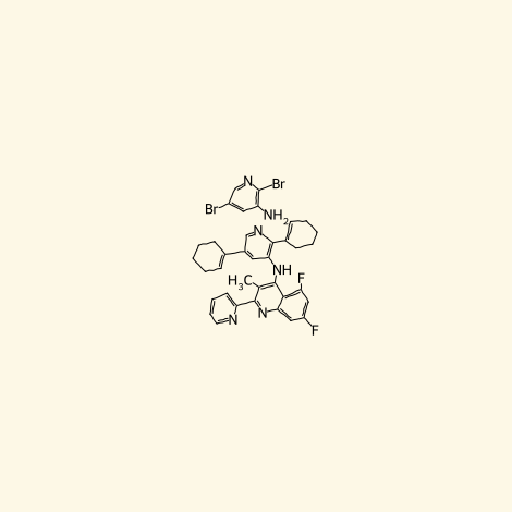 Cc1c(-c2ccccn2)nc2cc(F)cc(F)c2c1Nc1cc(C2=CCCCC2)cnc1C1=CCCCC1.Nc1cc(Br)cnc1Br